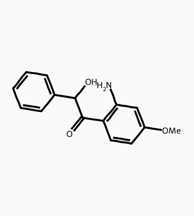 COc1ccc(C(=O)C(O)c2ccccc2)c(N)c1